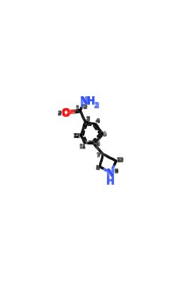 NC(=O)c1ccc(C2CNC2)cc1